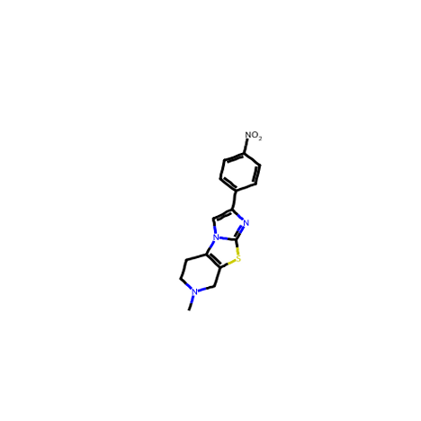 CN1CCc2c(sc3nc(-c4ccc([N+](=O)[O-])cc4)cn23)C1